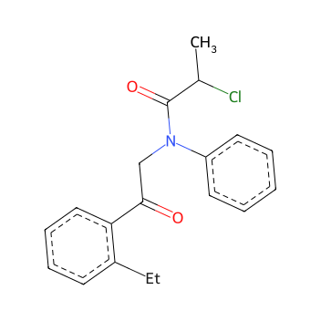 CCc1ccccc1C(=O)CN(C(=O)C(C)Cl)c1ccccc1